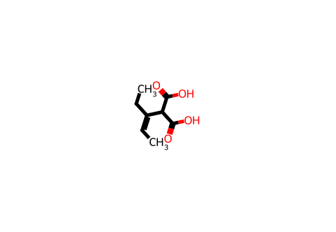 C/C=C(/CC)C(C(=O)O)C(=O)O